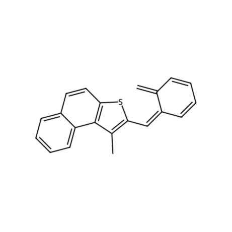 C=c1cccc/c1=C/c1sc2ccc3ccccc3c2c1C